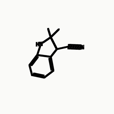 CC1(C)Nc2ccccc2C1C#N